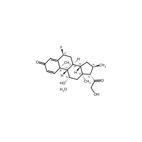 C[C@@H]1C[C@H]2[C@@H]3C[C@H](F)C4=CC(=O)C=C[C@]4(C)[C@H]3[C@@H](O)C[C@]2(C)[C@H]1C(=O)CO.O